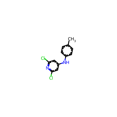 Cc1ccc(Nc2cc(Cl)nc(Cl)c2)cc1